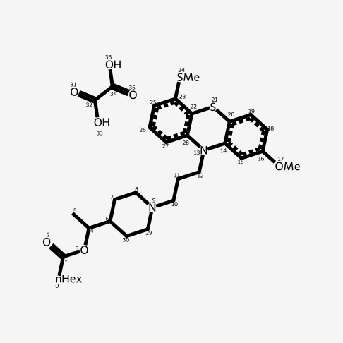 CCCCCCC(=O)OC(C)C1CCN(CCCN2c3cc(OC)ccc3Sc3c(SC)cccc32)CC1.O=C(O)C(=O)O